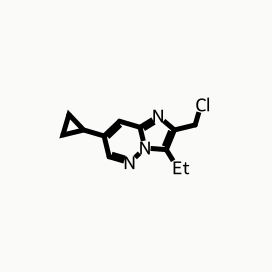 CCc1c(CCl)nc2cc(C3CC3)cnn12